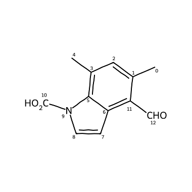 Cc1cc(C)c2c(ccn2C(=O)O)c1C=O